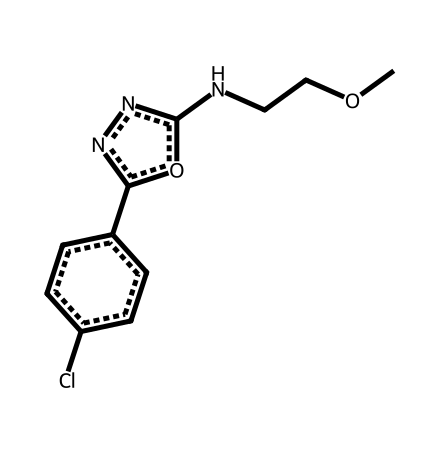 COCCNc1nnc(-c2ccc(Cl)cc2)o1